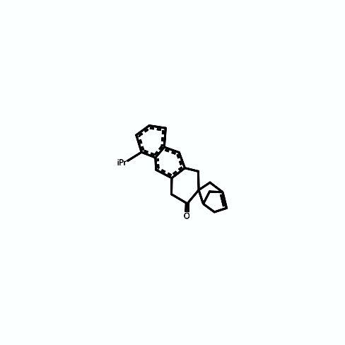 CC(C)c1cccc2cc3c(cc12)CC(=O)C1(CC2=CCC1C2)C3